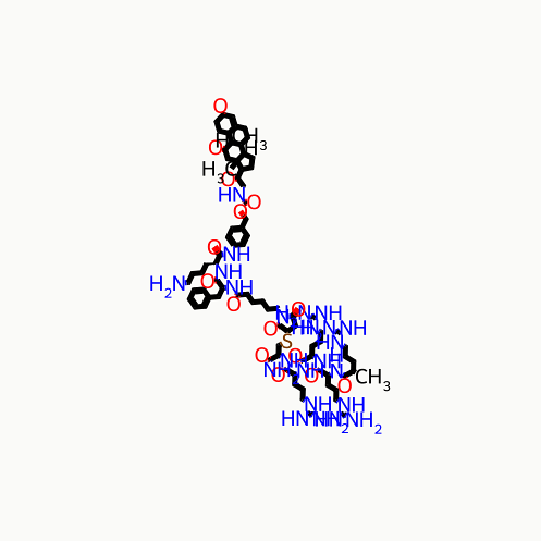 CC(CCCNC(=N)N)C(=O)NC(CCCNC(=N)N)C(=O)NC(CCCNC(=N)N)C(=O)NC(CCCNC(=N)N)C(=O)NC(CSC1CC(=O)N(CCCCCC(=O)NC(Cc2ccccc2)C(=O)N[C@@H](CCCCN)C(=O)Nc2ccc(COC(=O)NCC(=O)C3CC[C@H]4C5CCC6=CC(=O)CCC6(C)[C@H]5C(=O)CC34C)cc2)C1=O)C(N)=O